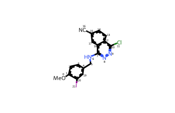 COc1ccc(CNc2nnc(Cl)c3ccc(C#N)cc23)cc1I